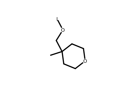 CC1(COI)CCOCC1